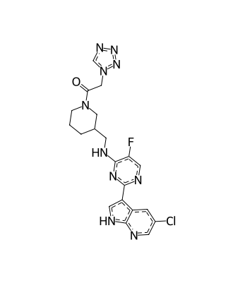 O=C(Cn1cnnn1)N1CCCC(CNc2nc(-c3c[nH]c4ncc(Cl)cc34)ncc2F)C1